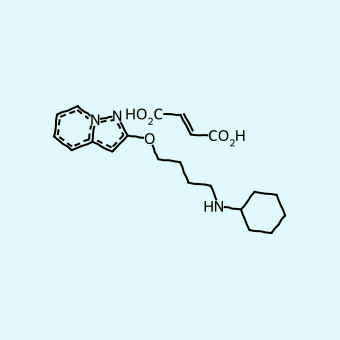 O=C(O)C=CC(=O)O.c1ccn2nc(OCCCCNC3CCCCC3)cc2c1